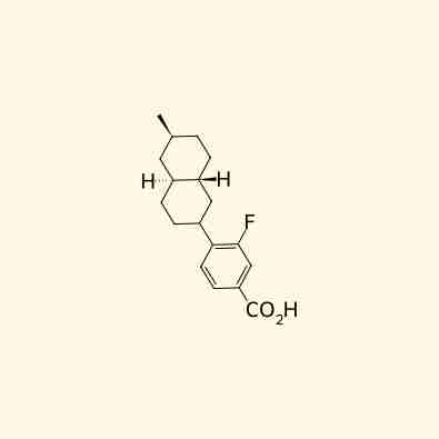 C[C@H]1CC[C@@H]2CC(c3ccc(C(=O)O)cc3F)CC[C@H]2C1